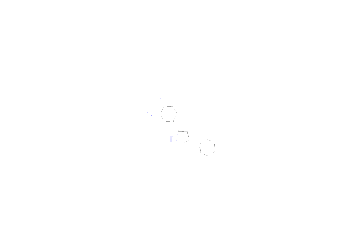 Cc1ccccc1-c1c[nH]c(-c2ccc(NC(C)C)c(N)c2)c1